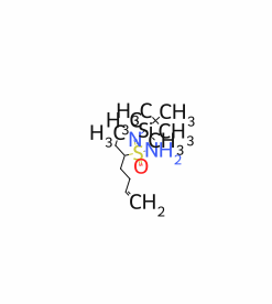 C=CCCC(CC)S(N)(=O)=N[Si](C)(C)C(C)(C)C